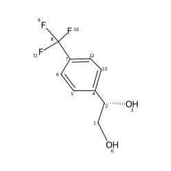 OC[C@@H](O)c1ccc(C(F)(F)F)cc1